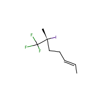 C/C=C/CC[C@@](C)(I)C(F)(F)F